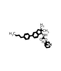 CCCCc1ccc(-c2ccc3c(c2)CC(C)(C)[C@H]3NC(=O)O[C@@H]2CN3CCC2CC3)cc1